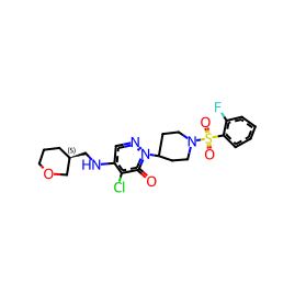 O=c1c(Cl)c(NC[C@@H]2CCCOC2)cnn1C1CCN(S(=O)(=O)c2ccccc2F)CC1